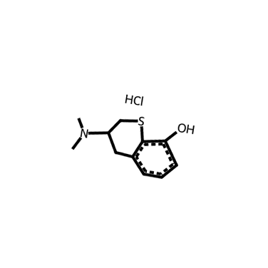 CN(C)C1CSc2c(O)cccc2C1.Cl